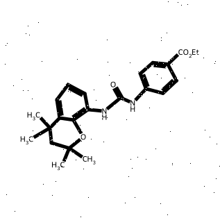 CCOC(=O)c1ccc(NC(=O)Nc2cccc3c2OC(C)(C)CC3(C)C)cc1